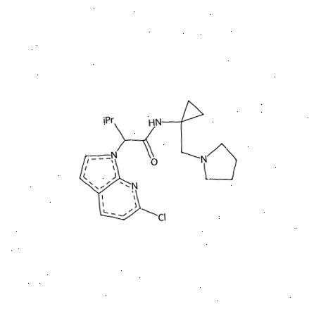 CC(C)C(C(=O)NC1(CN2CCCC2)CC1)n1ccc2ccc(Cl)nc21